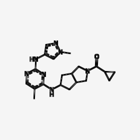 Cc1cnc(Nc2cnn(C)c2)nc1NC1CC2CN(C(=O)C3CC3)CC2C1